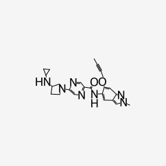 CC#CCOc1cc2nn(C)cc2cc1NC(=O)c1cnc(N2CCC(NC3CC3)C2)cn1